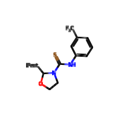 CCCC(C)C1OCCN1C(=S)Nc1cccc(C(F)(F)F)c1